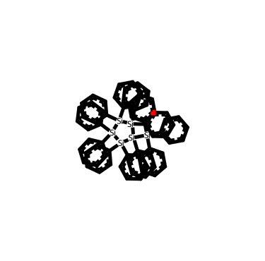 c1ccc([Si](c2ccccc2)(c2ccccc2)[Si]2(c3ccccc3)[Si](c3ccccc3)(c3ccccc3)[Si](c3ccccc3)(c3ccccc3)[Si](c3ccccc3)(c3ccccc3)[Si]2(c2ccccc2)c2ccccc2)cc1